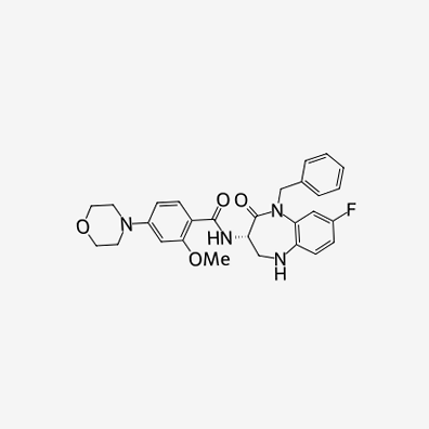 COc1cc(N2CCOCC2)ccc1C(=O)N[C@H]1CNc2ccc(F)cc2N(Cc2ccccc2)C1=O